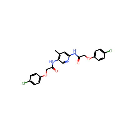 Cc1cc(NC(=O)COc2ccc(Cl)cc2)ncc1NC(=O)COc1ccc(Cl)cc1